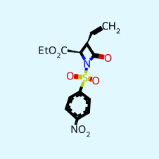 C=C[C@H]1C(=O)N(S(=O)(=O)c2ccc([N+](=O)[O-])cc2)[C@H]1C(=O)OCC